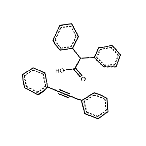 C(#Cc1ccccc1)c1ccccc1.O=C(O)C(c1ccccc1)c1ccccc1